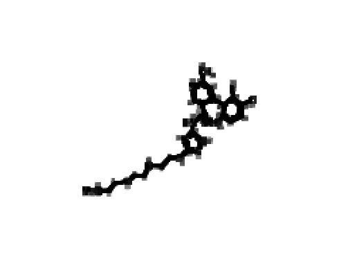 COCCOCCOCCOc1nnc(NC(=O)c2cnc(C)cc2-c2c(OC)ccc(Cl)c2F)s1